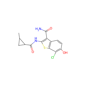 CC1CC1C(=O)Nc1sc2c(Cl)c(O)ccc2c1C(N)=O